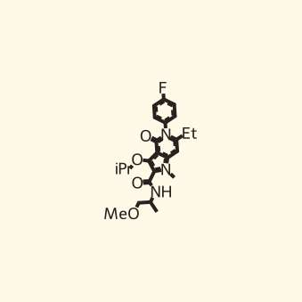 CCc1cc2c(c(OC(C)C)c(C(=O)NC(C)COC)n2C)c(=O)n1-c1ccc(F)cc1